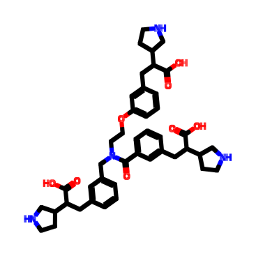 O=C(O)C(Cc1cccc(CN(CCOc2cccc(CC(C(=O)O)C3CCNC3)c2)C(=O)c2cccc(CC(C(=O)O)C3CCNC3)c2)c1)C1CCNC1